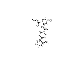 COC(=O)c1ccc(Cl)cc1NC(=O)N1CCC(c2ccccc2C(F)(F)F)CC1